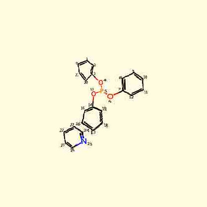 c1ccc(OP(Oc2ccccc2)Oc2ccccc2)cc1.c1ccncc1